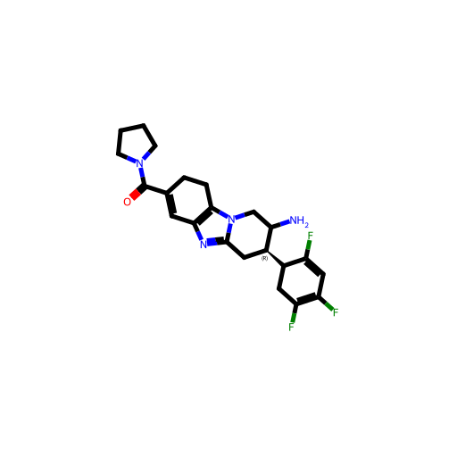 NC1Cn2c(nc3c2CCC(C(=O)N2CCCC2)=C3)C[C@@H]1C1CC(F)=C(F)C=C1F